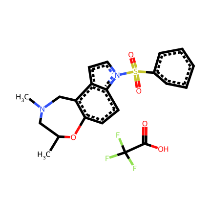 CC1CN(C)Cc2c(ccc3c2ccn3S(=O)(=O)c2ccccc2)O1.O=C(O)C(F)(F)F